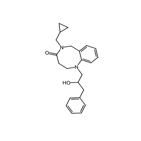 O=C1CCN(CC(O)Cc2ccccc2)c2ccccc2CN1CC1CC1